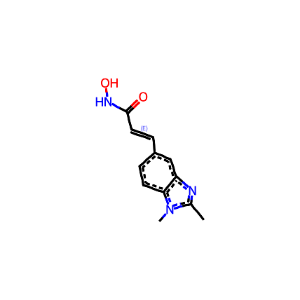 Cc1nc2cc(/C=C/C(=O)NO)ccc2n1C